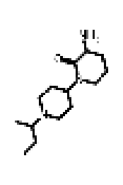 CCC(C)N1CCC(N2CCCC(N)C2=O)CC1